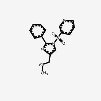 CNCc1cn(S(=O)(=O)c2cccnc2)c(-c2ccccc2)n1